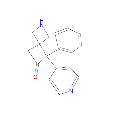 O=C1CC2(CNC2)C1(c1ccccc1)c1ccncc1